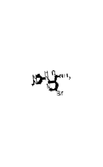 Cn1cc(Nc2ncc(Br)cc2C(N)=O)cn1